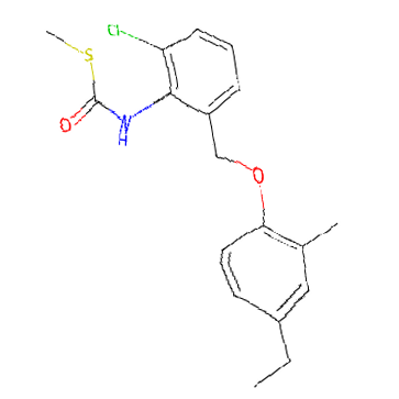 CCc1ccc(OCc2cccc(Cl)c2NC(=O)SC)c(C)c1